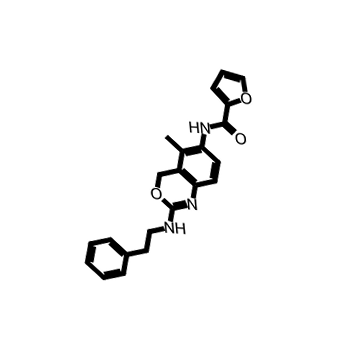 Cc1c(NC(=O)c2ccco2)ccc2c1COC(NCCc1ccccc1)=N2